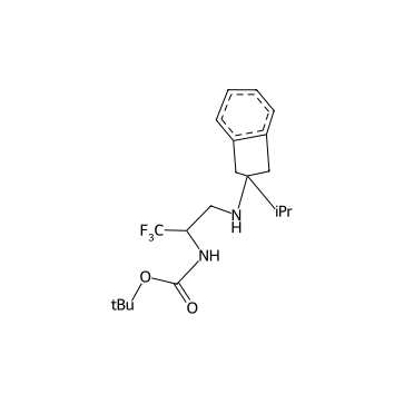 CC(C)C1(NCC(NC(=O)OC(C)(C)C)C(F)(F)F)Cc2ccccc2C1